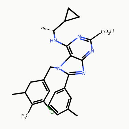 Cc1cccc(-c2nc3nc(C(=O)O)nc(N[C@H](C)C4CC4)c3n2CC2=CC(Cl)=C(C(F)(F)F)C(C)C2)c1